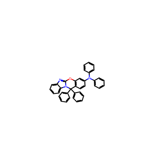 c1ccc(N(c2ccccc2)c2ccc3c(c2)Oc2nc4ccccc4n2C3(c2ccccc2)c2ccccc2)cc1